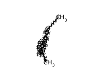 CCCCCCCCCCOc1ccc(-c2ccc(OC(=O)c3c(F)c(F)c(C(=O)OC(CCCCCC)C(F)(F)F)c(F)c3F)cc2)cc1